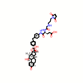 C[C@]12C=CC(=O)C=C1CC[C@@H]1[C@@H]2[C@@H](O)C[C@@]2(C)[C@H]1C[C@H]1O[C@@H](c3ccc(CC45CCC(NC(=O)[C@H](CCC(=O)O)NC(=O)CNCCCN6C(=O)C=CC6=O)(CC4)CC5)cc3)O[C@]12C(=O)CO